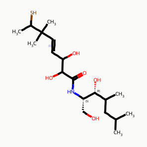 CC(C)CC(C)[C@@H](O)[C@H](CO)NC(=O)C(O)C(O)/C=C/C(C)(C)C(C)S